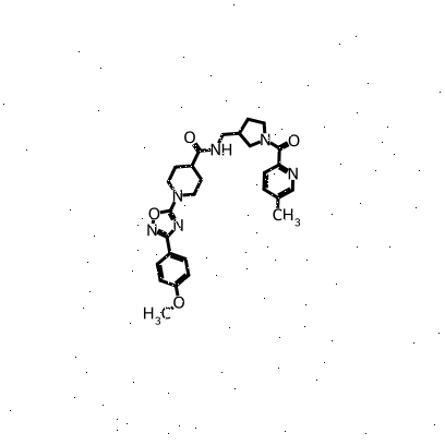 COc1ccc(-c2noc(N3CCC(C(=O)NCC4CCN(C(=O)c5ccc(C)cn5)C4)CC3)n2)cc1